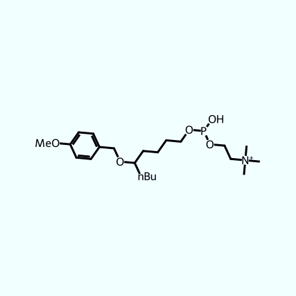 CCCCC(CCCCOP(O)OCC[N+](C)(C)C)OCc1ccc(OC)cc1